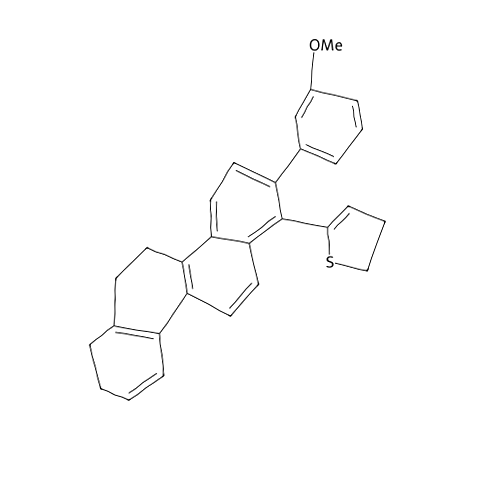 COc1cccc(-c2ccc3c4c(ccc3c2C2=CCCS2)C2=C(CCC=C2)CC4)c1